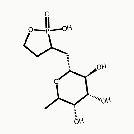 CC1O[C@H](CC2CCOP2(=O)O)[C@@H](O)[C@H](O)[C@@H]1O